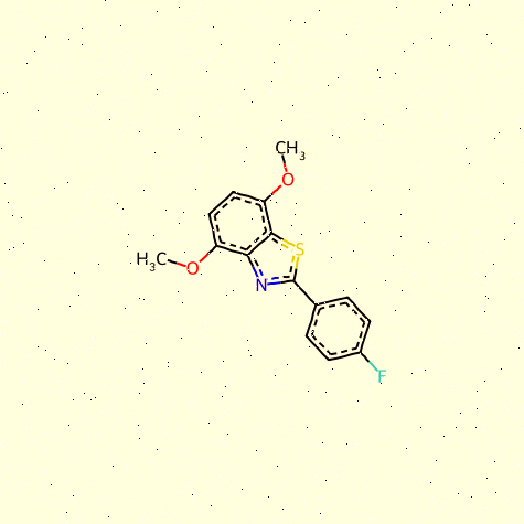 COc1ccc(OC)c2sc(-c3ccc(F)cc3)nc12